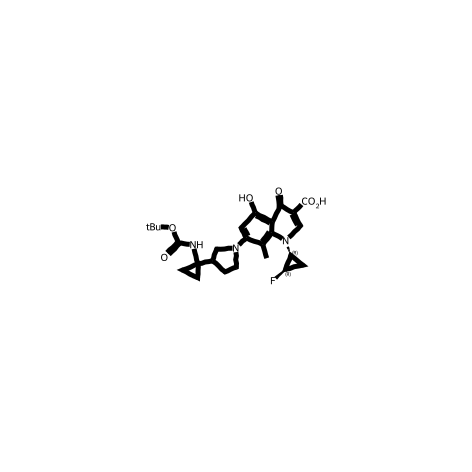 Cc1c(N2CCC(C3(NC(=O)OC(C)(C)C)CC3)C2)cc(O)c2c(=O)c(C(=O)O)cn([C@@H]3C[C@H]3F)c12